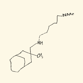 CNCCCCCNCC1(C)CC2CCCC(C2)C1